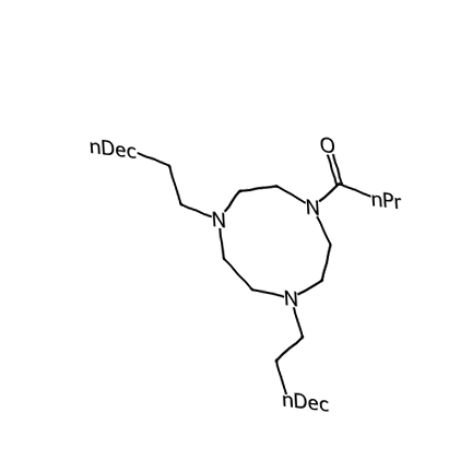 CCCCCCCCCCCCN1CCN(CCCCCCCCCCCC)CCN(C(=O)CCC)CC1